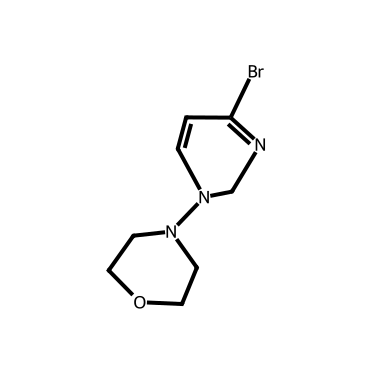 BrC1=NCN(N2CCOCC2)C=C1